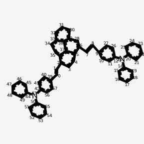 C(=Cc1ccc2c(C=Cc3ccc(N(c4ccccc4)c4ccccc4)cc3)cc3cccc4ccc1c2c43)c1ccc(N(c2ccccc2)c2ccccc2)cc1